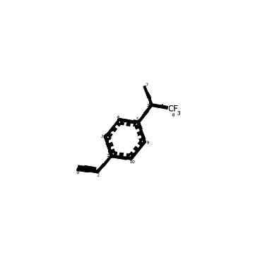 C=Cc1ccc(C(C)C(F)(F)F)cc1